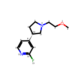 COCCN1CC[C@@H](c2ccnc(F)c2)C1